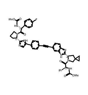 COC(=O)N[C@H](C(=O)N1CC2(CC2)C[C@H]1c1nc2ccc(C#Cc3ccc(-c4cnc([C@@H]5CCCN5C(=O)[C@H](NC(=O)OC)c5ccc(F)cc5)[nH]4)cc3)cc2[nH]1)C(C)C